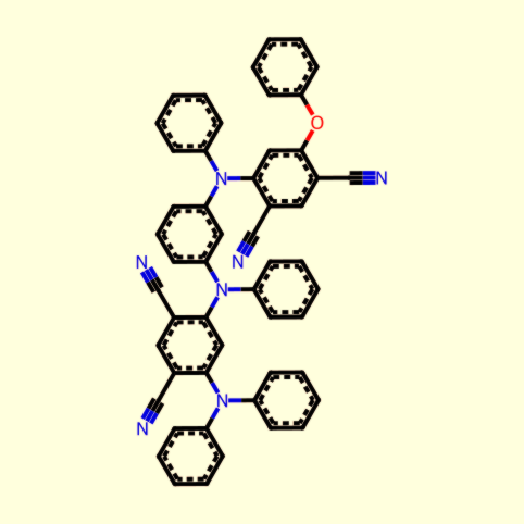 N#Cc1cc(C#N)c(N(c2ccccc2)c2cccc(N(c3ccccc3)c3cc(N(c4ccccc4)c4ccccc4)c(C#N)cc3C#N)c2)cc1Oc1ccccc1